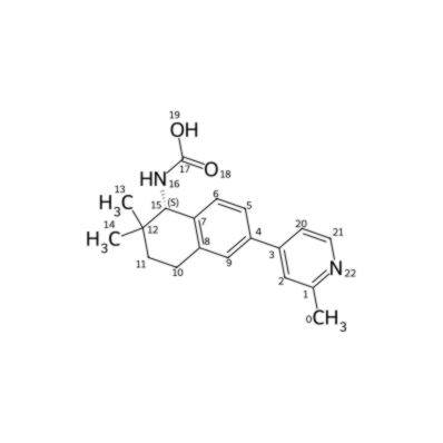 Cc1cc(-c2ccc3c(c2)CCC(C)(C)[C@@H]3NC(=O)O)ccn1